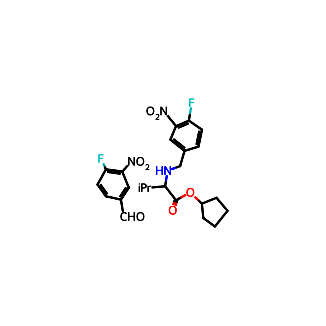 CC(C)C(NCc1ccc(F)c([N+](=O)[O-])c1)C(=O)OC1CCCC1.O=Cc1ccc(F)c([N+](=O)[O-])c1